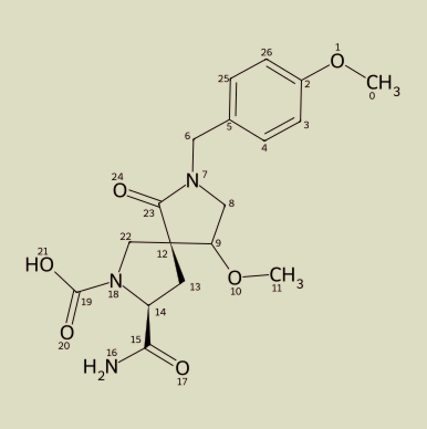 COc1ccc(CN2CC(OC)[C@@]3(C[C@@H](C(N)=O)N(C(=O)O)C3)C2=O)cc1